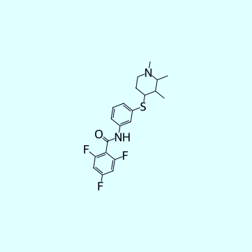 CC1C(Sc2cccc(NC(=O)c3c(F)cc(F)cc3F)c2)CCN(C)C1C